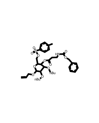 C=CCOC1OC(COS(=O)(=O)c2ccc(C)cc2)C(OC(=O)CCNC(=O)OCc2ccccc2)C(OCCCC)C1OCCCC